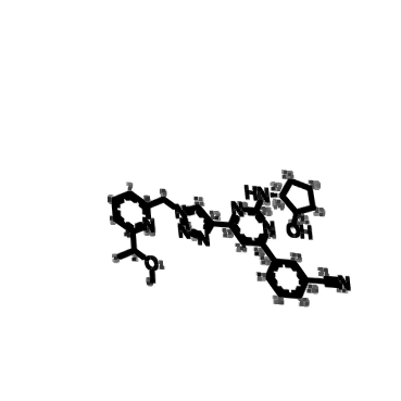 COC(C)c1cccc(Cn2cc(-c3cc(-c4cccc(C#N)c4)nc(N[C@@H]4CCC[C@H]4O)n3)nn2)n1